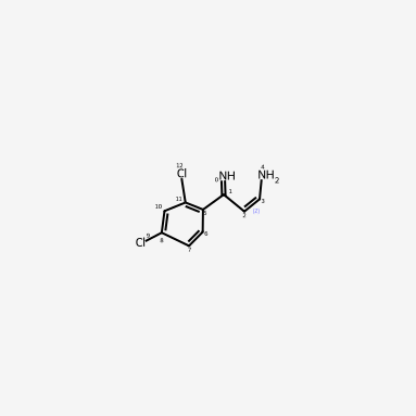 N=C(/C=C\N)c1ccc(Cl)cc1Cl